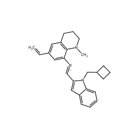 C=Cc1cc2c(c(/N=C/c3cc4ccccc4n3CC3CCC3)c1)N(C)CCC2